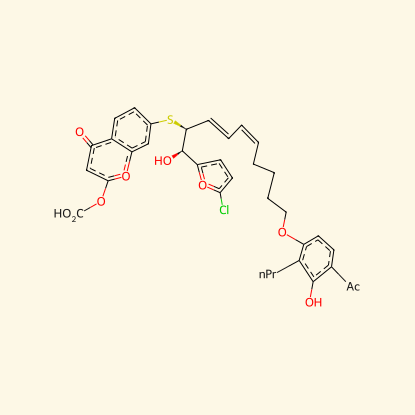 CCCc1c(OCCCC/C=C\C=C\[C@H](Sc2ccc3c(=O)cc(OC(=O)O)oc3c2)[C@H](O)c2ccc(Cl)o2)ccc(C(C)=O)c1O